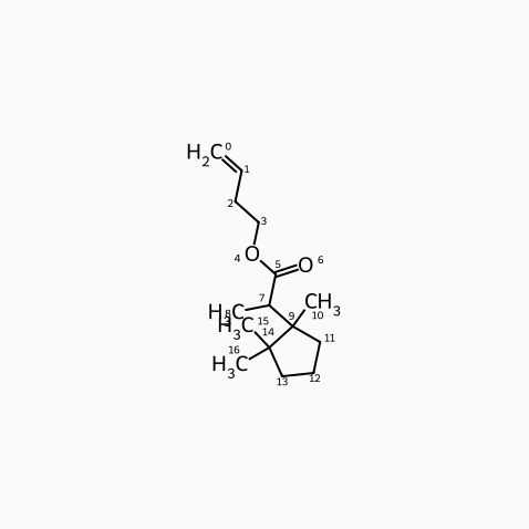 C=CCCOC(=O)C(C)C1(C)CCCC1(C)C